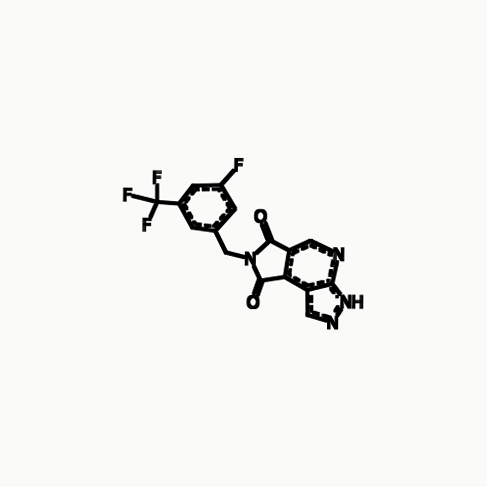 O=C1c2cnc3[nH]ncc3c2C(=O)N1Cc1cc(F)cc(C(F)(F)F)c1